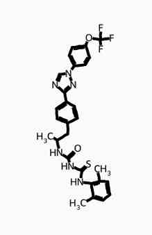 Cc1cccc(C)c1NC(=S)NC(=O)NC(C)Cc1ccc(-c2ncn(-c3ccc(OC(F)(F)F)cc3)n2)cc1